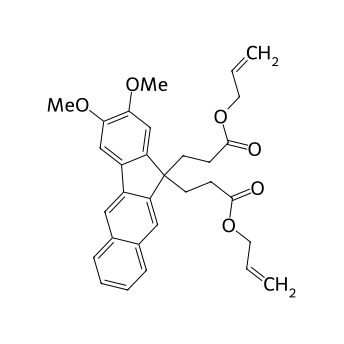 C=CCOC(=O)CCC1(CCC(=O)OCC=C)c2cc(OC)c(OC)cc2-c2cc3ccccc3cc21